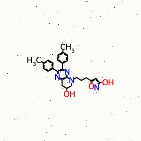 Cc1ccc(-c2nc3c(nc2-c2ccc(C)cc2)N(CCCc2cc(O)no2)CC(O)C3)cc1